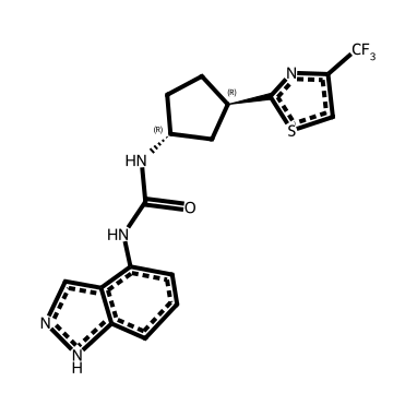 O=C(Nc1cccc2[nH]ncc12)N[C@@H]1CC[C@@H](c2nc(C(F)(F)F)cs2)C1